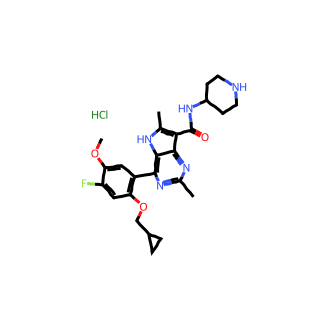 COc1cc(-c2nc(C)nc3c(C(=O)NC4CCNCC4)c(C)[nH]c23)c(OCC2CC2)cc1F.Cl